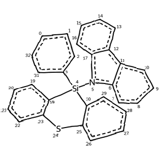 c1ccc([Si]2(n3c4ccccc4c4ccccc43)c3ccccc3Sc3ccccc32)cc1